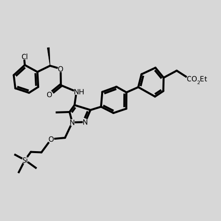 CCOC(=O)Cc1ccc(-c2ccc(-c3nn(COCC[Si](C)(C)C)c(C)c3NC(=O)O[C@H](C)c3ccccc3Cl)cc2)cc1